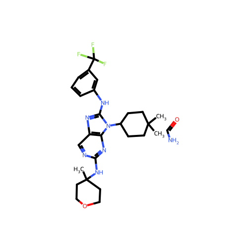 CC1(C)CCC(n2c(Nc3cccc(C(F)(F)F)c3)nc3cnc(NC4(C)CCOCC4)nc32)CC1.NC=O